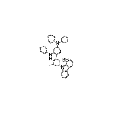 Cc1cc(-c2ccc(N(c3ccccc3)c3ccccc3)cc2Nc2ccccc2)c2c(c1)-n1c3ccccc3c3cccc(c31)B2